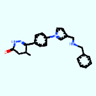 CC1CC(=O)NN=C1c1ccc(-n2ccc(CNCc3ccccc3)c2)cc1